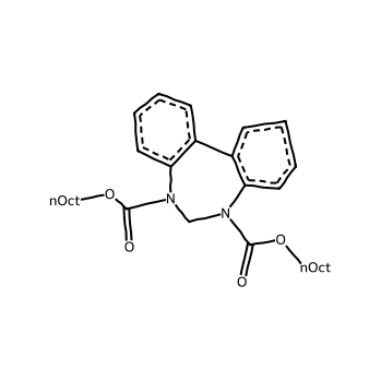 CCCCCCCCOC(=O)N1CN(C(=O)OCCCCCCCC)c2ccccc2-c2ccccc21